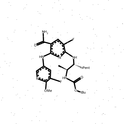 CCCCC[C@@H](Nc1nc(Nc2cnc(OC)c(F)c2)c(C(N)=O)cc1F)[C@H](C)NC(=O)OC(C)(C)C